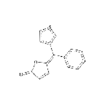 O=C1C=CC(=C(c2ccccc2)c2ccsc2)O1